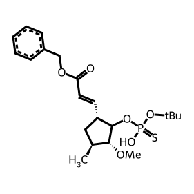 CO[C@H]1C(OP(O)(=S)OC(C)(C)C)[C@@H](/C=C/C(=O)OCc2ccccc2)C[C@@H]1C